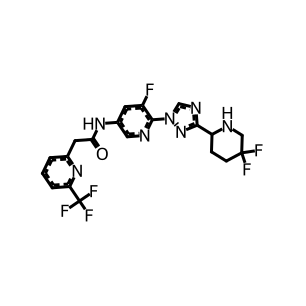 O=C(Cc1cccc(C(F)(F)F)n1)Nc1cnc(-n2cnc(C3CCC(F)(F)CN3)n2)c(F)c1